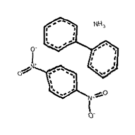 N.O=[N+]([O-])c1ccc([N+](=O)[O-])cc1.c1ccc(-c2ccccc2)cc1